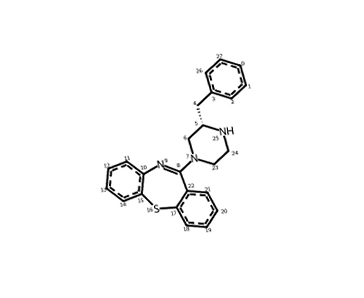 c1ccc(C[C@H]2CN(C3=Nc4ccccc4Sc4ccccc43)CCN2)cc1